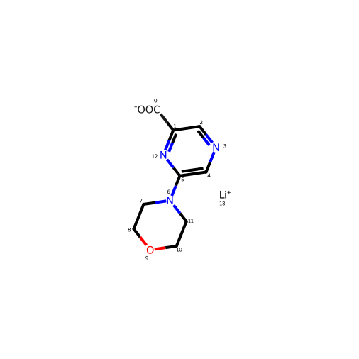 O=C([O-])c1cncc(N2CCOCC2)n1.[Li+]